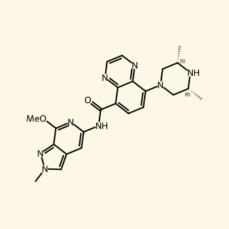 COc1nc(NC(=O)c2ccc(N3C[C@@H](C)N[C@@H](C)C3)c3nccnc23)cc2cn(C)nc12